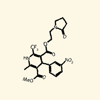 COC(=O)C1=C(C)NC(C(F)(F)F)=C(C(=O)OCCN2CCCC2=O)C1c1cccc([N+](=O)[O-])c1